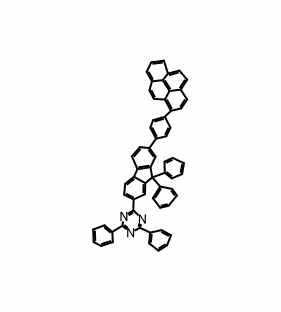 c1ccc(-c2nc(-c3ccccc3)nc(-c3ccc4c(c3)C(c3ccccc3)(c3ccccc3)c3cc(-c5ccc(-c6ccc7ccc8cccc9ccc6c7c89)cc5)ccc3-4)n2)cc1